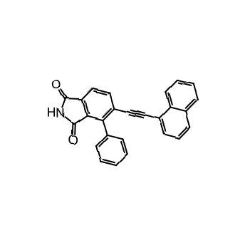 O=C1NC(=O)c2c1ccc(C#Cc1cccc3ccccc13)c2-c1ccccc1